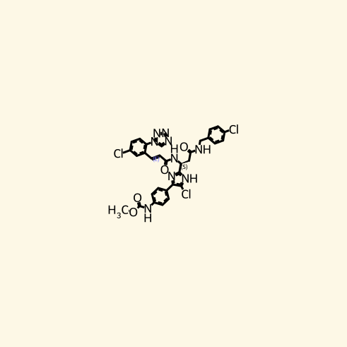 COC(=O)Nc1ccc(-c2nc([C@H](CC(=O)NCc3ccc(Cl)cc3)NC(=O)/C=C/c3cc(Cl)ccc3-n3cnnn3)[nH]c2Cl)cc1